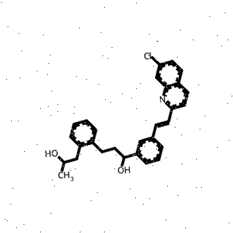 CC(O)Cc1ccccc1CCC(O)c1cccc(C=Cc2ccc3ccc(Cl)cc3n2)c1